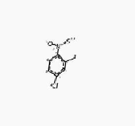 Cc1cc(Cl)ccc1[N+]([O-])=S